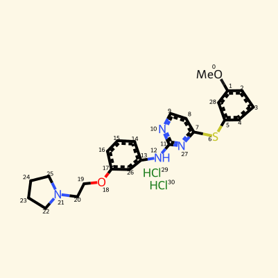 COc1cccc(Sc2ccnc(Nc3cccc(OCCN4CCCC4)c3)n2)c1.Cl.Cl